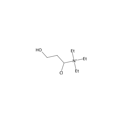 CC[N+](CC)(CC)C(Cl)CCO